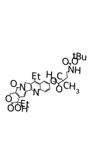 CCc1c2c(nc3ccc(OC(=O)C(C)(C)CCNC(=O)OC(C)(C)C)cc13)-c1cc3c(c(=O)n1C2)COC(=O)[C@]3(O)CC